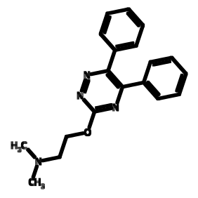 CN(C)CCOc1nnc(-c2ccccc2)c(-c2ccccc2)n1